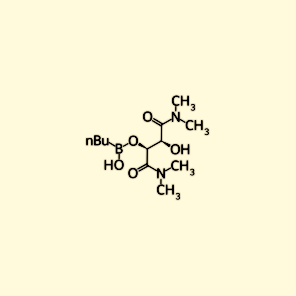 CCCCB(O)O[C@H](C(=O)N(C)C)[C@H](O)C(=O)N(C)C